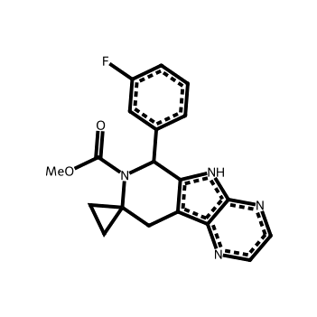 COC(=O)N1C(c2cccc(F)c2)c2[nH]c3nccnc3c2CC12CC2